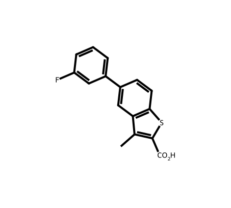 Cc1c(C(=O)O)sc2ccc(-c3cccc(F)c3)cc12